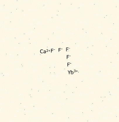 [Ca+2].[F-].[F-].[F-].[F-].[F-].[Yb+3]